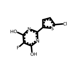 Oc1nc(-c2ccc(Cl)s2)nc(O)c1F